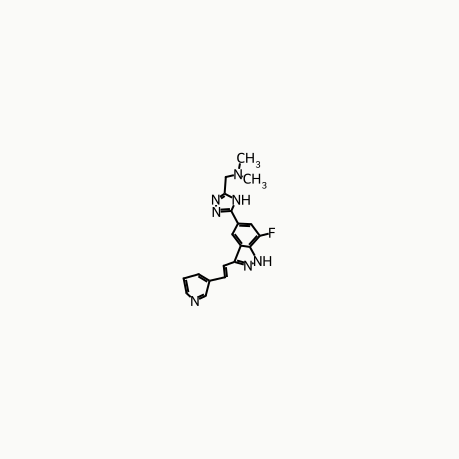 CN(C)Cc1nnc(-c2cc(F)c3[nH]nc(C=Cc4cccnc4)c3c2)[nH]1